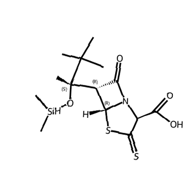 C[SiH](C)O[C@@](C)([C@@H]1C(=O)N2C(C(=O)O)C(=S)S[C@H]12)C(C)(C)C